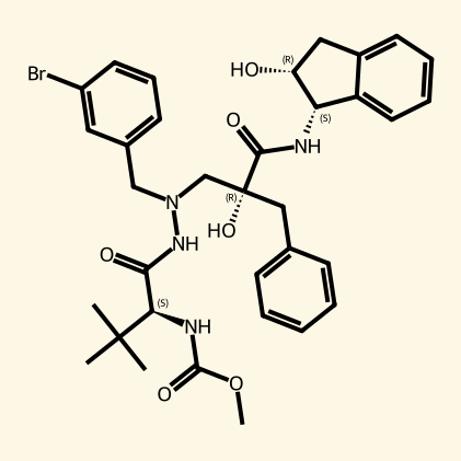 COC(=O)N[C@H](C(=O)NN(Cc1cccc(Br)c1)C[C@](O)(Cc1ccccc1)C(=O)N[C@H]1c2ccccc2C[C@H]1O)C(C)(C)C